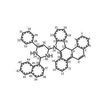 C1=Cc2ccccc2C2C1=c1ccccc1=C1C2c2ccccc2N1C1C=C(c2ccccc2)NC(c2cccc3ccccc23)N1